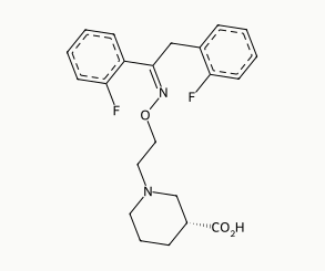 O=C(O)[C@@H]1CCCN(CCON=C(Cc2ccccc2F)c2ccccc2F)C1